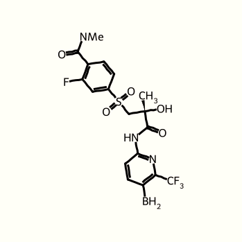 Bc1ccc(NC(=O)[C@@](C)(O)CS(=O)(=O)c2ccc(C(=O)NC)c(F)c2)nc1C(F)(F)F